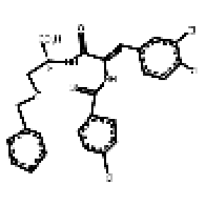 O=C(N[C@@H](COCc1ccccc1)C(=O)O)C(=Cc1ccc(Cl)c(Cl)c1)NC(=O)c1ccc(Cl)cc1